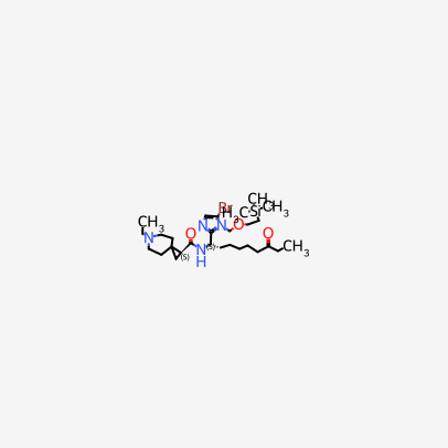 CCC(=O)CCCCC[C@H](NC(=O)[C@H]1CC12CCN(CC)CC2)c1ncc(Br)n1COCC[Si](C)(C)C